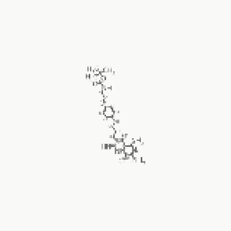 CC(C)(C)OC(=O)NCCOc1ccc(CCCCN(C(=N)N)C(=O)c2nc(Cl)c(N)nc2N)cc1